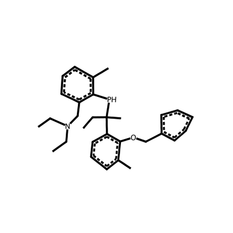 CCN(CC)Cc1cccc(C)c1PC(C)(CC)c1cccc(C)c1OCc1ccccc1